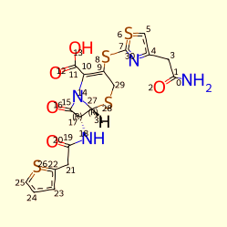 NC(=O)Cc1csc(SC2=C(C(=O)O)N3C(=O)[C@@H](NC(=O)Cc4cccs4)[C@H]3SC2)n1